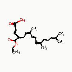 CCOC(=O)C(CC=C(C)CCC=C(C)CCC=C(C)C)CCC(=O)O